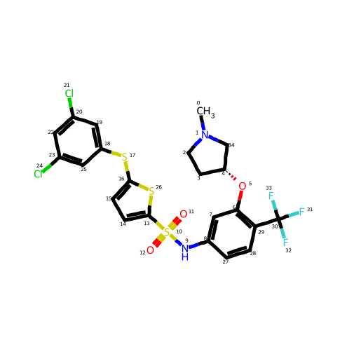 CN1CC[C@@H](Oc2cc(NS(=O)(=O)c3ccc(Sc4cc(Cl)cc(Cl)c4)s3)ccc2C(F)(F)F)C1